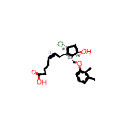 Cc1cccc(OC[C@@H]2[C@@H](C/C=C\CCCC(=O)O)[C@H](Cl)C[C@H]2O)c1C